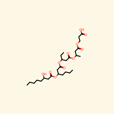 CCCCCC(O)CC(=O)OC(CCCC)CC(=O)OC(CC)CC(=O)OC(C)CC(=O)OCCC(=O)O